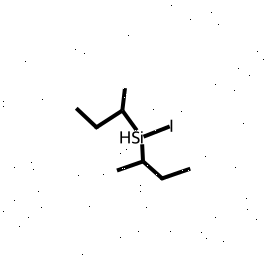 CCC(C)[SiH](I)C(C)CC